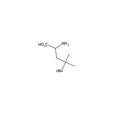 CCCCC(C)(C)CC(N)C(=O)O